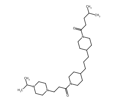 CC(C)CCC(=O)N1CCC(CCCC2CCN(C(=O)CCN3CCN(C(C)C)CC3)CC2)CC1